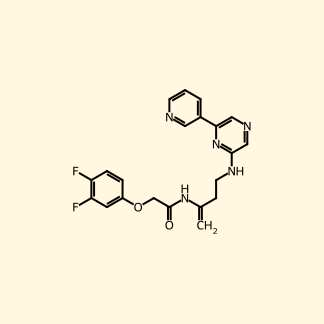 C=C(CCNc1cncc(-c2cccnc2)n1)NC(=O)COc1ccc(F)c(F)c1